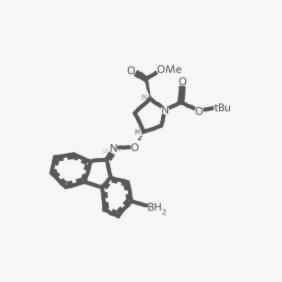 Bc1ccc2c(c1)/C(=N\O[C@@H]1C[C@@H](C(=O)OC)N(C(=O)OC(C)(C)C)C1)c1ccccc1-2